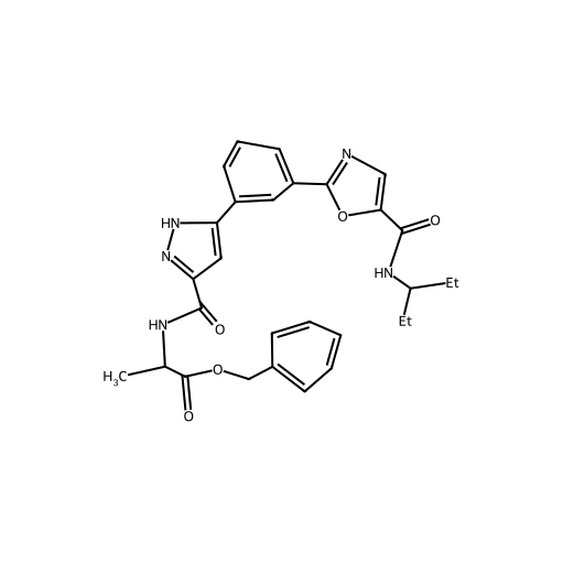 CCC(CC)NC(=O)c1cnc(-c2cccc(-c3cc(C(=O)NC(C)C(=O)OCc4ccccc4)n[nH]3)c2)o1